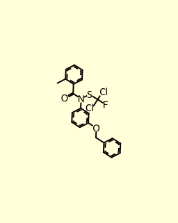 Cc1ccccc1C(=O)N(SC(F)(Cl)Cl)c1cccc(OCc2ccccc2)c1